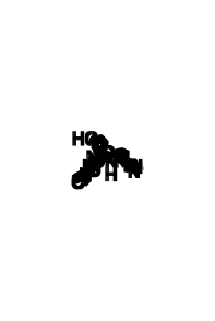 Cn1cc(-c2cccc(NC(=O)c3cc4oc(N5CCOCC5)nc4nc3N3CCCC(O)C3)n2)cn1